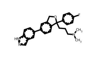 CN(C)CCCC1(c2ccc(F)cc2)OCc2cc(-c3ccc4[nH]ncc4c3)ccc21